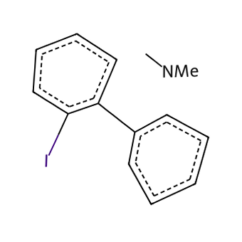 CNC.Ic1ccccc1-c1ccccc1